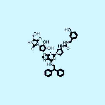 O=C(NCc1cccc(O)c1)NC1CCN(c2nc(NCC(c3ccccc3)c3ccccc3)c3ncn([C@@H]4C[C@H](N5C(=O)N[C@H](CO)C5=O)[C@@H](O)[C@H]4O)c3n2)C1